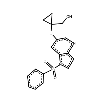 O=S(=O)(c1ccccc1)n1ccc2ncc(OC3(CO)CC3)cc21